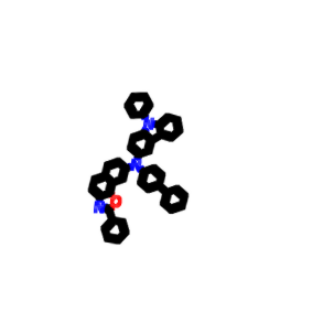 c1ccc(-c2ccc(N(c3ccc4ccc5nc(-c6ccccc6)oc5c4c3)c3ccc4c(c3)c3ccccc3n4-c3ccccc3)cc2)cc1